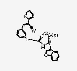 N#CC(=Cc1cccc(OCCC(=O)N[C@@H](Cc2coc3ccccc23)B(O)O)c1)c1ccccn1